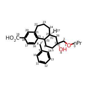 CCCOC[C@@]1(O)CC[C@@]2(Cc3ccccc3)c3ccc(C(=O)O)cc3CCC[C@H]2C1